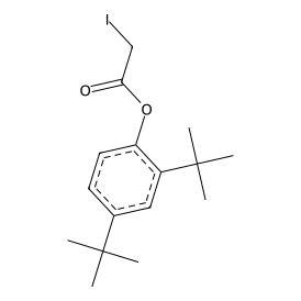 CC(C)(C)c1ccc(OC(=O)CI)c(C(C)(C)C)c1